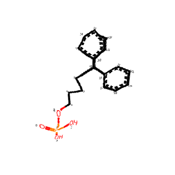 O=P(O)(O)OCCCCC(c1ccccc1)c1ccccc1